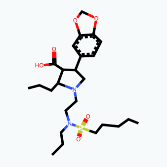 CCCCCS(=O)(=O)N(CCC)CCN1CC(c2ccc3c(c2)OCO3)C(C(=O)O)C1CCC